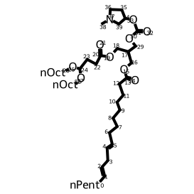 CCCCCC=CCC=CCCCCCCCC(=O)OCC(COC(=O)CCC(OCCCCCCCC)OCCCCCCCC)COC(=O)OC1CCN(C)C1